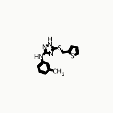 Cc1cccc(Nc2n[nH]c(SCc3cccs3)n2)c1